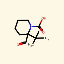 CC(C)(C)C1(C=O)CCCCN1C(=O)O